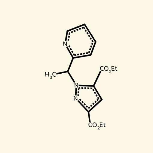 CCOC(=O)c1cc(C(=O)OCC)n(C(C)c2ccccn2)n1